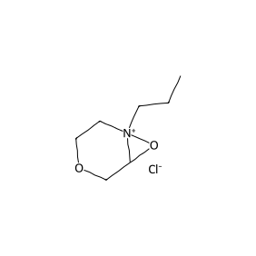 CCC[N+]12CCOCC1O2.[Cl-]